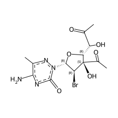 CC(=O)C(O)[C@H]1O[C@@H](n2nc(C)c(N)nc2=O)[C@H](Br)[C@@]1(O)C(C)=O